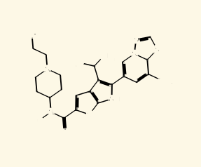 CC1=CC(c2[nH]c3sc(C(=O)N(C)C4CCN(CCO)CC4)cc3c2C(C)C)=CN2N=CNC12